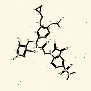 CN(C)S(=O)(=O)c1ccc2c(c1)C(=O)C(=O)N2CC(=O)O[C@@H](Cc1c(Cl)c[n+]([O-])cc1Cl)c1ccc(OC(F)F)c(OCC2CC2)c1